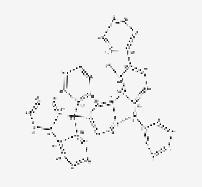 c1ccc(-n2c3ccc(C4(c5ccccc5)c5ccccc5-c5ccccc54)cc3c3c4c(ccc32)-c2ccccc2C4)cc1